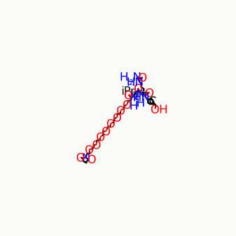 CC(C)[C@H](NC(=O)CCOCCOCCOCCOCCOCCOCCOCCOCCN1C(=O)C=CC1=O)C(=O)N[C@@H](CCCNC(N)=O)C(=O)Nc1ccc(CO)cc1